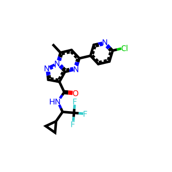 Cc1cc(-c2ccc(Cl)nc2)nc2c(C(=O)NC(C3CC3)C(F)(F)F)cnn12